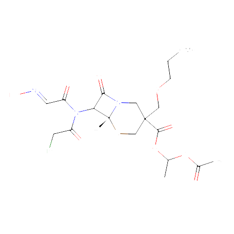 COCCOCC1(C(=O)OC(C)OC(=O)C(C)(C)C)CS[C@@H]2C(N(C(=O)C=NO)C(=O)CBr)C(=O)N2C1